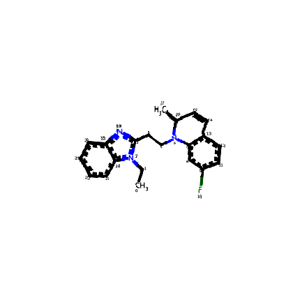 CCn1c(CCN2c3cc(F)ccc3C=CC2C)nc2ccccc21